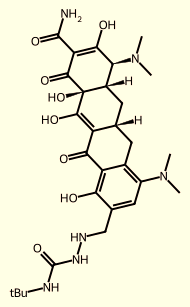 CN(C)c1cc(CNNC(=O)NC(C)(C)C)c(O)c2c1C[C@H]1C[C@H]3[C@H](N(C)C)C(O)=C(C(N)=O)C(=O)[C@@]3(O)C(O)=C1C2=O